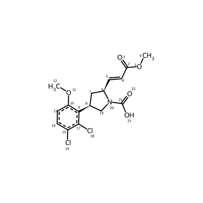 COC(=O)/C=C/[C@@H]1C[C@H](c2c(OC)ccc(Cl)c2Cl)CN1C(=O)O